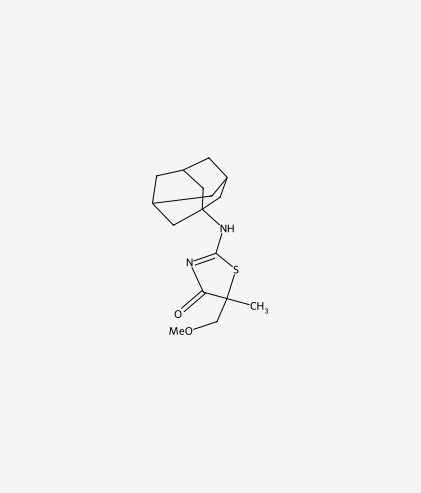 COCC1(C)SC(NC23CC4CC(CC(C4)C2)C3)=NC1=O